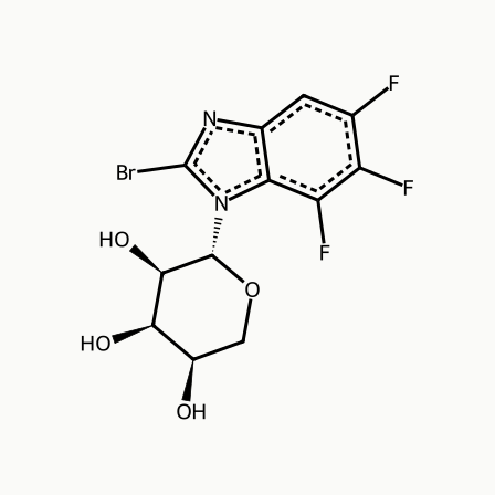 O[C@@H]1[C@H](O)[C@H](O)CO[C@H]1n1c(Br)nc2cc(F)c(F)c(F)c21